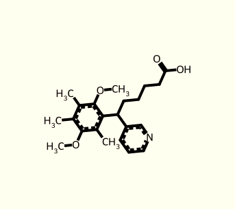 COc1c(C)c(C)c(OC)c(C(CCCCC(=O)O)c2cccnc2)c1C